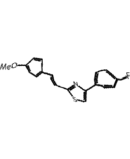 COc1ccc(/C=C/c2nc(-c3ccc(F)cc3)cs2)cc1